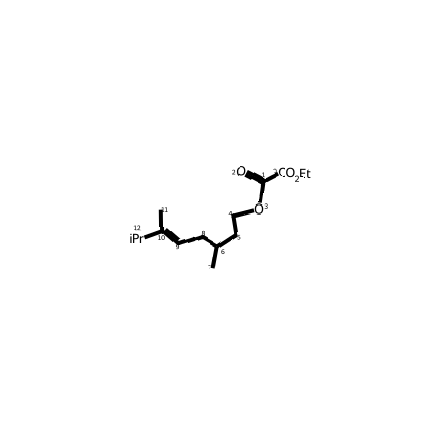 CCOC(=O)C(=O)OCCC(C)CC=C(C)C(C)C